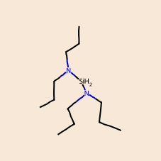 CCCN(CCC)[SiH2]N(CCC)CCC